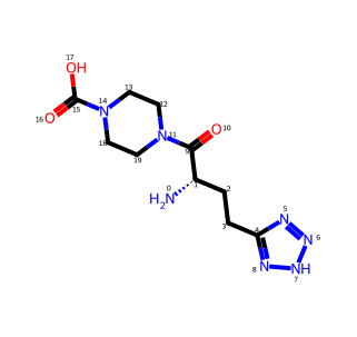 N[C@@H](CCc1nn[nH]n1)C(=O)N1CCN(C(=O)O)CC1